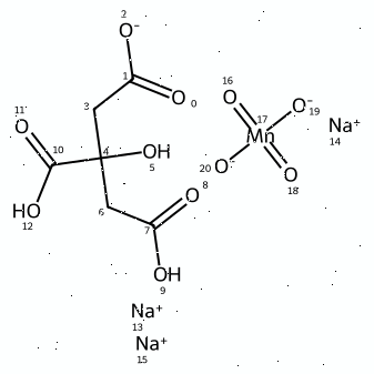 O=C([O-])CC(O)(CC(=O)O)C(=O)O.[Na+].[Na+].[Na+].[O]=[Mn](=[O])([O-])[O-]